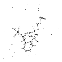 CCCCCCCCCCCCCC(F)(CCCCCCC)NS(=O)(=O)c1ccccc1[N+]#N.F[B-](F)(F)F